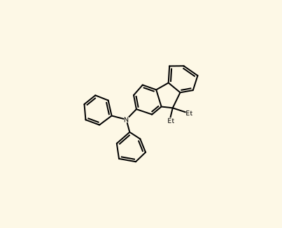 CCC1(CC)c2ccccc2-c2ccc(N(c3ccccc3)c3ccccc3)cc21